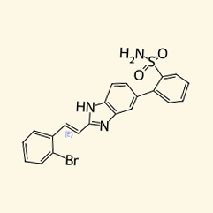 NS(=O)(=O)c1ccccc1-c1ccc2[nH]c(/C=C/c3ccccc3Br)nc2c1